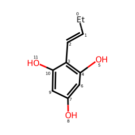 CCC=Cc1c(O)cc(O)cc1O